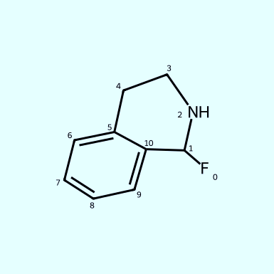 FC1NCCc2ccccc21